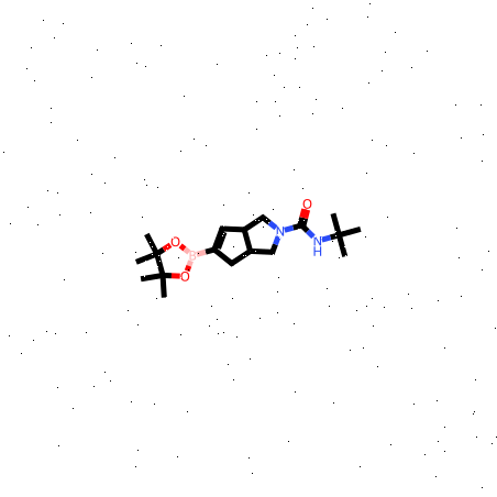 CC(C)(C)NC(=O)N1CC2C=C(B3OC(C)(C)C(C)(C)O3)CC2C1